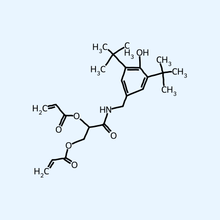 C=CC(=O)OCC(OC(=O)C=C)C(=O)NCc1cc(C(C)(C)C)c(O)c(C(C)(C)C)c1